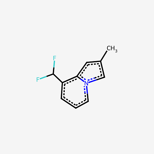 Cc1cc2c(C(F)F)cccn2c1